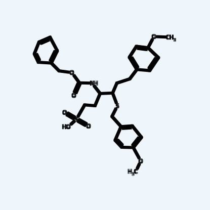 COc1ccc(CCC(SCc2ccc(OC)cc2)C(CCS(=O)(=O)O)NC(=O)OCc2ccccc2)cc1